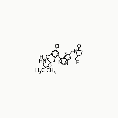 Cc1cc(Cl)cc(-c2ncnc3cc(CN4C(=O)CCC4CF)sc23)c1C[C@@H]1CNCC(C)(C)O1